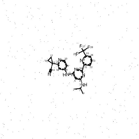 CC(C)Nc1cc(Nc2ccnc(C3(C#N)CC3)c2)nc(-c2cccc(C(F)(F)F)n2)n1